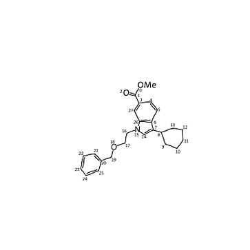 COC(=O)c1ccc2c(C3CCCCC3)cn(CCOCc3ccccc3)c2c1